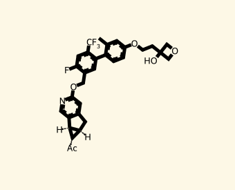 CC(=O)[C@H]1[C@@H]2Cc3cc(OCc4cc(-c5ccc(OCCC6(O)COC6)cc5C)c(C(F)(F)F)cc4F)ncc3[C@@H]21